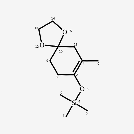 CC1=C(O[Si](C)(C)C)CCC2(C1)OCCO2